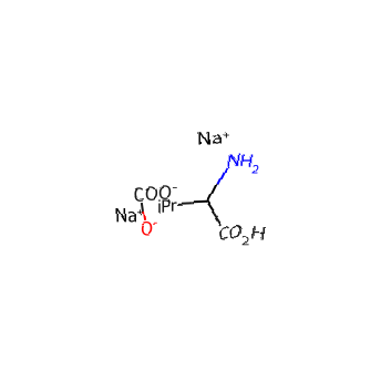 CC(C)C(N)C(=O)O.O=C([O-])[O-].[Na+].[Na+]